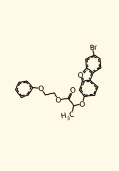 CC(Oc1ccc2c(c1)oc1cc(Br)ccc12)C(=O)OCCOc1ccccc1